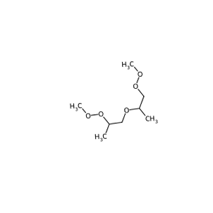 COOCC(C)OCC(C)OOC